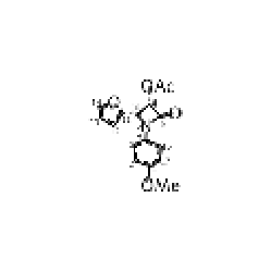 COc1ccc(N2C(=O)[C@@H](OC(C)=O)[C@H]2c2ccco2)cc1